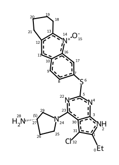 CCc1[nH]c2nc(Sc3ccc4cc5c([n+]([O-])c4c3)CCCC5)nc(N3CC[C@H](N)C3)c2c1Cl